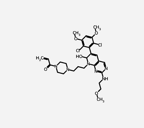 C=CC(=O)N1CCN(CCCN2c3nc(NCCOC)ncc3C=C(c3c(Cl)c(OC)cc(OC)c3Cl)C2O)CC1